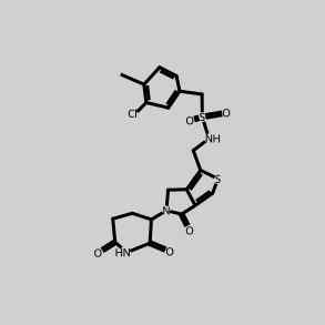 Cc1ccc(CS(=O)(=O)NCc2scc3c2CN(C2CCC(=O)NC2=O)C3=O)cc1Cl